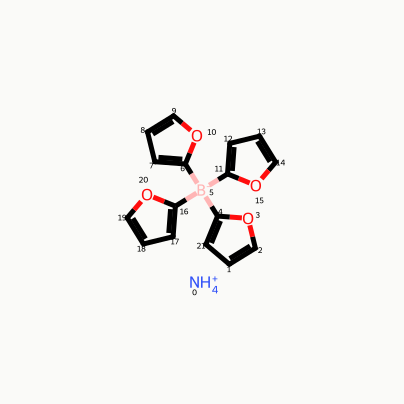 [NH4+].c1coc([B-](c2ccco2)(c2ccco2)c2ccco2)c1